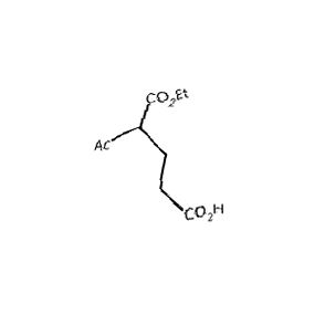 CCOC(=O)C(CCC(=O)O)C(C)=O